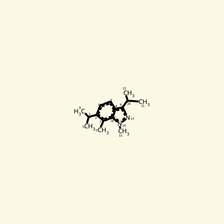 Cc1c(C(C)C)ccc2c(C(C)C)nn(C)c12